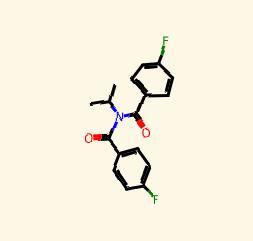 CC(C)N(C(=O)c1ccc(F)cc1)C(=O)c1ccc(F)cc1